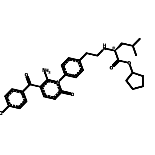 CC(C)C[C@H](NCCc1ccc(-n2c(N)c(C(=O)c3ccc(Cl)cc3)ccc2=O)cc1)C(=O)OC1CCCC1